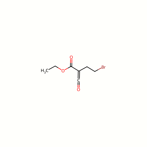 CCOC(=O)C(=C=O)CCBr